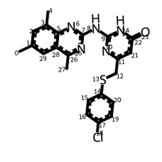 Cc1cc(C)c2nc(Nc3nc(CSc4ccc(Cl)cc4)cc(=O)[nH]3)nc(C)c2c1